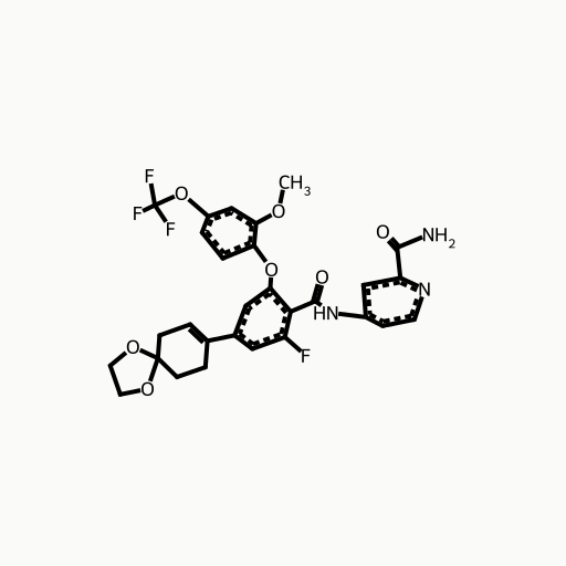 COc1cc(OC(F)(F)F)ccc1Oc1cc(C2=CCC3(CC2)OCCO3)cc(F)c1C(=O)Nc1ccnc(C(N)=O)c1